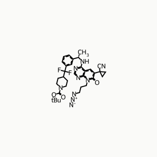 C[C@@H](Nc1ncnc2c1cc(C1(C#N)CC1)c(=O)n2CCCN=[N+]=[N-])c1cccc(C(F)(F)C2CCN(C(=O)OC(C)(C)C)CC2)c1